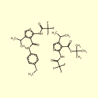 CC(C)c1csc(NC(=O)C(F)(F)F)c1C(=O)OC(C)(C)C.CSc1ccc(NC(=O)c2c(C(C)C)csc2NC(=O)C(F)(F)F)cc1